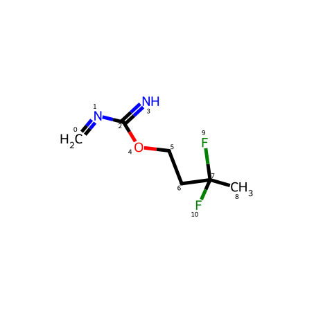 C=NC(=N)OCCC(C)(F)F